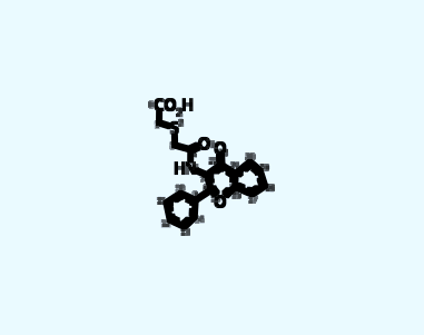 O=C(O)CSCC(=O)Nc1c(-c2ccccc2)oc2ccccc2c1=O